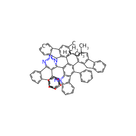 Cc1cc2c(c(-c3c(-c4c(C)c(C)cc5c4Cc4ccccc4-5)c(-c4ccccc4)c4c([nH]c5ccccc54)c3-c3nnnc(-c4ccccc4-c4ccccc4)c3-c3ccccc3)c1C)Cc1ccccc1-2